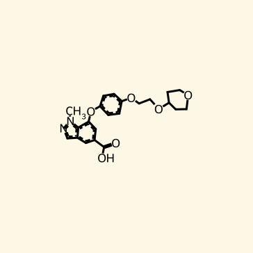 Cn1ncc2cc(C(=O)O)cc(Oc3ccc(OCCOC4CCOCC4)cc3)c21